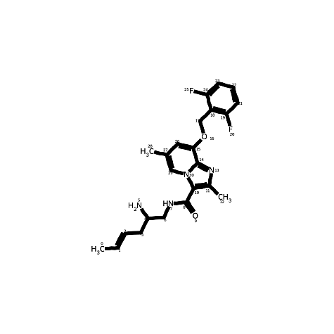 CC=CCC(N)CNC(=O)c1c(C)nc2c(OCc3c(F)cccc3F)cc(C)cn12